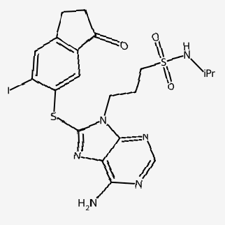 CC(C)NS(=O)(=O)CCCn1c(Sc2cc3c(cc2I)CCC3=O)nc2c(N)ncnc21